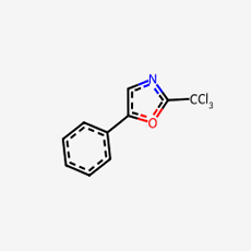 ClC(Cl)(Cl)c1ncc(-c2ccccc2)o1